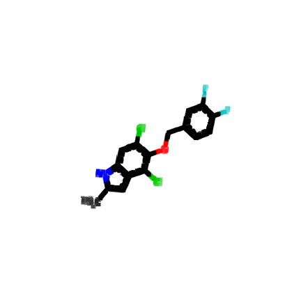 O=C(O)c1cc2c(Cl)c(OCc3ccc(F)c(F)c3)c(Cl)cc2[nH]1